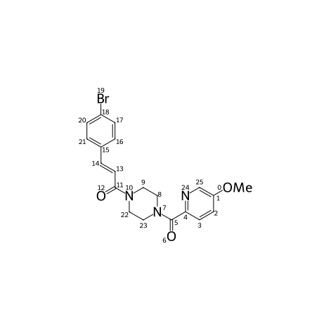 COc1ccc(C(=O)N2CCN(C(=O)/C=C/c3ccc(Br)cc3)CC2)nc1